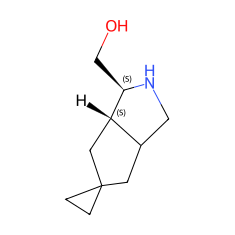 OC[C@H]1NCC2CC3(CC3)C[C@@H]21